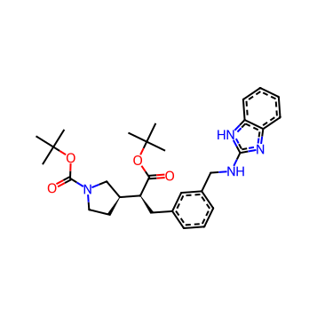 CC(C)(C)OC(=O)[C@@H](Cc1cccc(CNc2nc3ccccc3[nH]2)c1)[C@H]1CCN(C(=O)OC(C)(C)C)C1